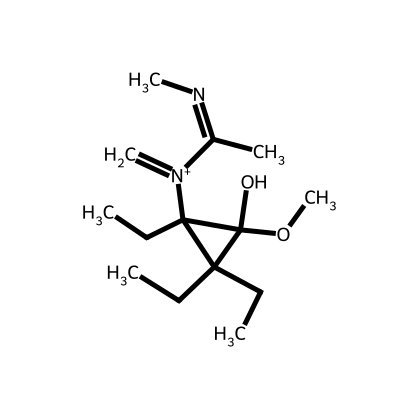 C=[N+](/C(C)=N\C)C1(CC)C(CC)(CC)C1(O)OC